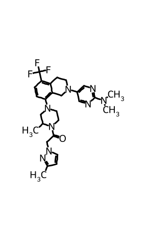 Cc1ccn(CC(=O)N2CCN(c3ccc(C(F)(F)F)c4c3CN(c3cnc(N(C)C)nc3)CC4)CC2C)n1